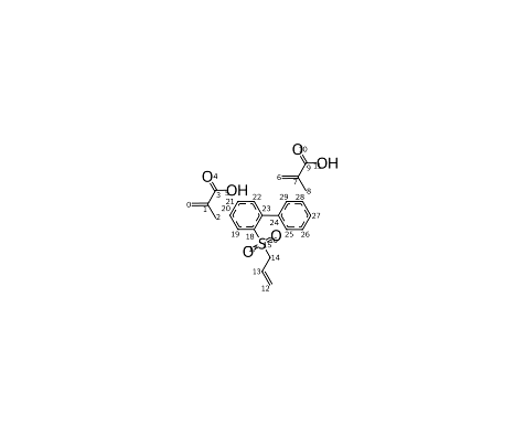 C=C(C)C(=O)O.C=C(C)C(=O)O.C=CCS(=O)(=O)c1ccccc1-c1ccccc1